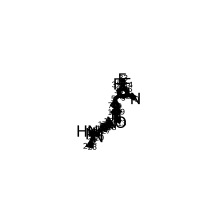 N#Cc1cc(CC2CC3(C2)CN(C(=O)N2CC4(CC(c5nc(C6CC6)n[nH]5)C4)C2)C3)cc(C(F)(F)F)c1